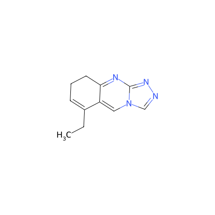 CCC1=CCCc2nc3nncn3cc21